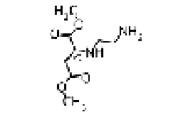 COC(=O)C[C@H](NCCN)C(=O)OC